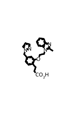 Cc1nc2ccccc2n1CCOc1cc(Cn2cccn2)ccc1CCC(=O)O